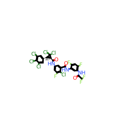 O=C(Nc1cc(NC(=O)C(F)F)c(F)cc1F)c1cc(NC(=O)[C@H]2[C@H](c3cc(Cl)c(Cl)c(Cl)c3)C2(Cl)Cl)cc(F)c1Cl